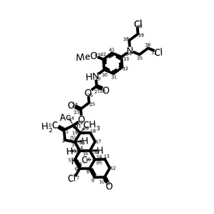 C=C1C[C@H]2[C@@H]3C=C(Cl)C4=CC(=O)CC[C@]4(C)[C@H]3CC[C@]2(C)[C@@]1(OC(=O)COC(=O)Nc1ccc(N(CCCl)CCCl)cc1OC)C(C)=O